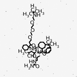 CC(C)[C@H](NC1(C(=O)CCOCCOCCOCCNC(C)(C)C)CCCCC1)C(=O)N[C@@H](CCCNC(N)=O)C(=O)C12CCCCC(C1)C(C)(C)c1ccc(cc1)N2